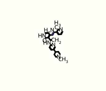 C=C(Nc1ccc(C2CCN(C)CC2)cn1)c1c(/C=C(\N)c2cccnc2C)cc[nH]c1=O